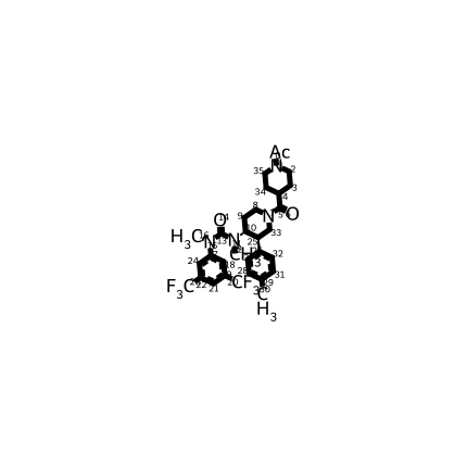 CC(=O)N1CCC(C(=O)N2CC[C@@H](N(C)C(=O)N(C)c3cc(C(F)(F)F)cc(C(F)(F)F)c3)[C@H](c3ccc(C)cc3)C2)CC1